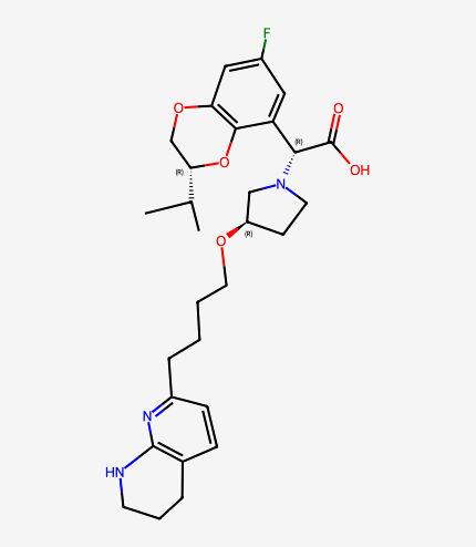 CC(C)[C@@H]1COc2cc(F)cc([C@H](C(=O)O)N3CC[C@@H](OCCCCc4ccc5c(n4)NCCC5)C3)c2O1